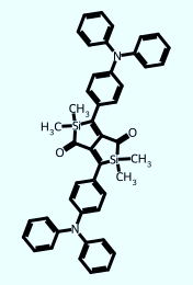 C[Si]1(C)C(=O)C2=C(c3ccc(N(c4ccccc4)c4ccccc4)cc3)[Si](C)(C)C(=O)C2=C1c1ccc(N(c2ccccc2)c2ccccc2)cc1